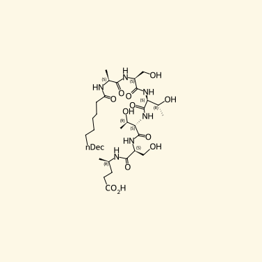 CCCCCCCCCCCCCCCC(=O)N[C@@H](C)C(=O)N[C@@H](CO)C(=O)N[C@H](C(=O)N[C@H](C(=O)N[C@@H](CO)C(=O)N[C@H](C)CCC(=O)O)[C@@H](C)O)[C@@H](C)O